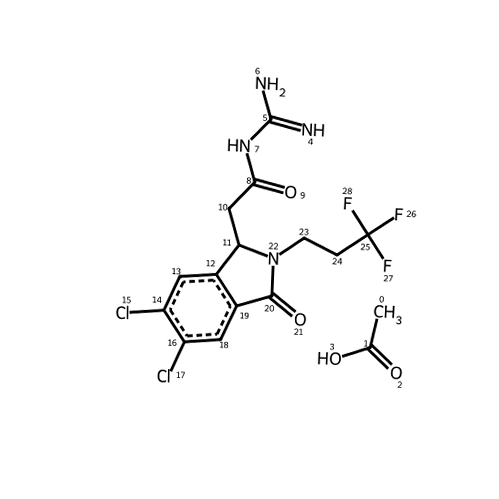 CC(=O)O.N=C(N)NC(=O)CC1c2cc(Cl)c(Cl)cc2C(=O)N1CCC(F)(F)F